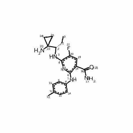 CC[C@H](Nc1nc(Nc2ccc(C)cc2)c(C(N)=O)cc1F)C1(N)CC1